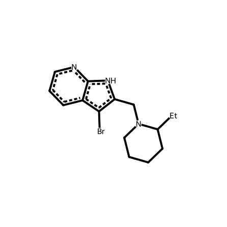 CCC1CCCCN1Cc1[nH]c2ncccc2c1Br